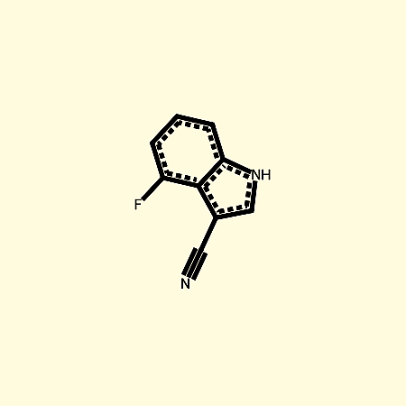 N#Cc1c[nH]c2cccc(F)c12